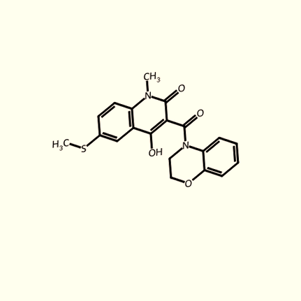 CSc1ccc2c(c1)c(O)c(C(=O)N1CCOc3ccccc31)c(=O)n2C